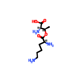 C[C@@H](OC(=O)[C@@H](N)CCCCN)[C@H](N)C(=O)O